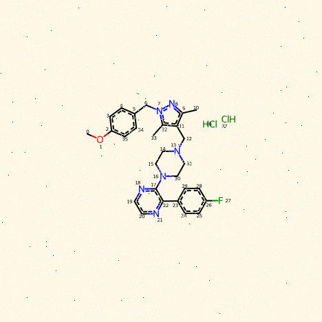 COc1ccc(Cn2nc(C)c(CN3CCN(c4nccnc4-c4ccc(F)cc4)CC3)c2C)cc1.Cl.Cl